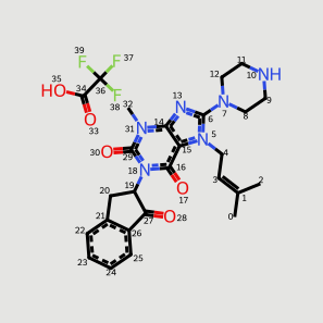 CC(C)=CCn1c(N2CCNCC2)nc2c1c(=O)n(C1Cc3ccccc3C1=O)c(=O)n2C.O=C(O)C(F)(F)F